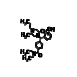 CCCN1CC(C)N(C(c2ccc(C(=O)N(CC)CC)cc2)c2cccc(O)c2)CC1C